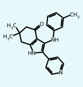 Cc1cccc(Nc2c(-c3ccncc3)[nH]c3c2C(=O)CC(C)(C)C3)c1